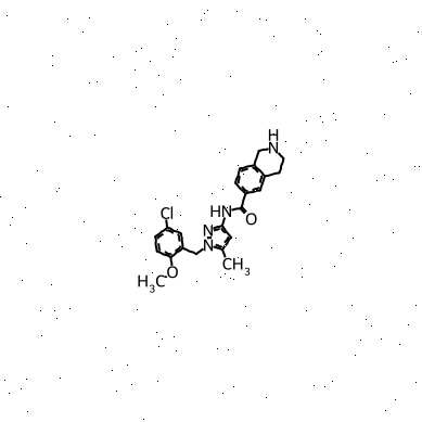 COc1ccc(Cl)cc1Cn1nc(NC(=O)c2ccc3c(c2)CCNC3)cc1C